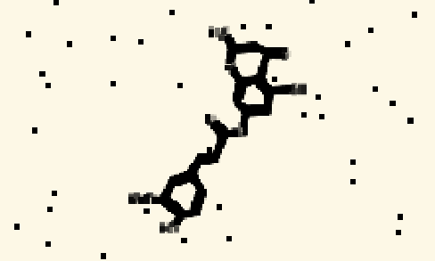 COc1cc(/C=C/C(=O)Oc2cc(O)c3c(=O)cc(C)oc3c2)ccc1O